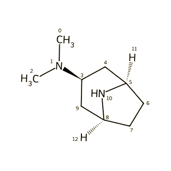 CN(C)[C@H]1C[C@H]2CC[C@@H](C1)N2